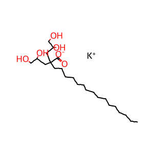 CCCCCCCCCCCCCCCCC(CC(O)CO)(CC(O)CO)C(=O)[O-].[K+]